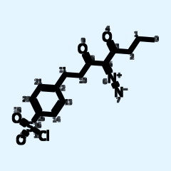 CCCC(=O)C(=[N+]=[N-])C(=O)CCc1ccc(S(=O)(=O)Cl)cc1